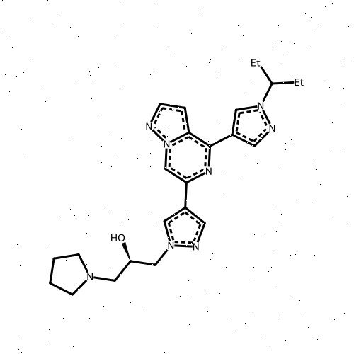 CCC(CC)n1cc(-c2nc(-c3cnn(C[C@H](O)CN4CCCC4)c3)cn3nccc23)cn1